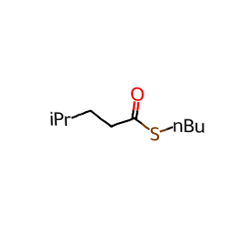 CCCCSC(=O)CCC(C)C